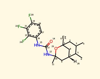 CCC12CC(C)C(C)[C@@H](C1)CC(C)(NC(=O)Nc1ccc(F)c(F)c1F)O2